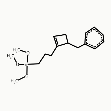 CO[Si](CCCC1=CCC1Cc1ccccc1)(OC)OC